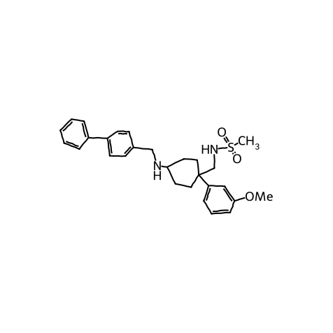 COc1cccc(C2(CNS(C)(=O)=O)CCC(NCc3ccc(-c4ccccc4)cc3)CC2)c1